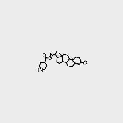 C/C(=N/OC(=O)C1CCNCC1)C1CCC2C3CCC4=CC(=O)CCC4(C)C3CCC12C